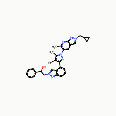 Cc1nc2nn(CC3CC3)cc2cc1-n1nc(-c2cccc3nn(C[C@H](O)c4ccccc4)cc23)c(C(C)C)c1C